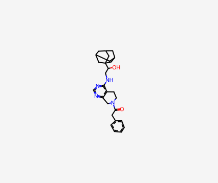 O=C(Cc1ccccc1)N1CCc2c(ncnc2NCC(O)C23CC4CC(CC(C4)C2)C3)C1